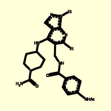 CCc1nc2c(cnn2CC)c(NC2CCN(C(N)=O)CC2)c1CNC(=O)c1ccc(NC(C)=O)cc1